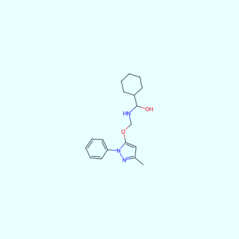 Cc1cc(OCNC(O)C2CCCCC2)n(-c2ccccc2)n1